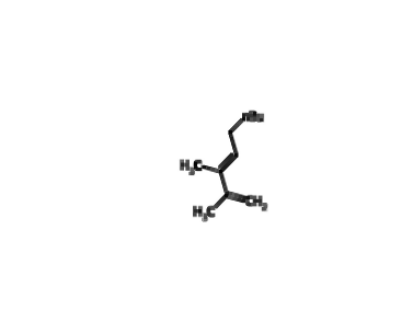 C=C(C)/C(C)=C/CCCCC